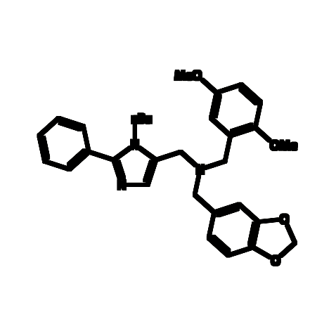 CCCCn1c(CN(Cc2ccc3c(c2)OCO3)Cc2cc(OC)ccc2OC)cnc1-c1ccccc1